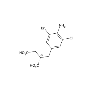 Nc1c(Cl)cc(C[C@@H](CC(=O)O)C(=O)O)cc1Br